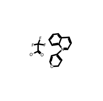 C1=CC([n+]2cccc3ccccc32)=CCO1.O=C([O-])C(F)(F)F